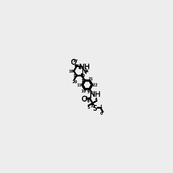 CCSC(C)(C)C(=O)Nc1ccc(C2=NNC(=O)CC2C)cc1